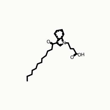 CCCCCCCCCCCC(=O)c1cn(CCCC(=O)O)c2ccccc12